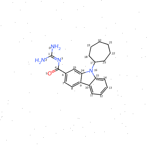 NC(N)=NC(=O)c1ccc2c3ccccc3n(C3CCCCCC3)c2c1